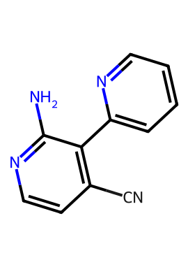 N#Cc1ccnc(N)c1-c1ccccn1